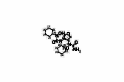 NC(=O)N(O)c1cocc1N(C(=O)N(O)C1CCCCC1)C1CCCCC1